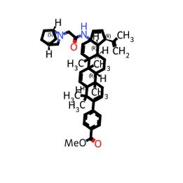 C=C(C)[C@@H]1C=CC2(NC(=O)CN3C[C@@H]4CC[C@H]3C4)C=CC3(C)[C@H](CC[C@@H]4C5(C)CC=C(c6ccc(C(=O)OC)cc6)C(C)(C)[C@H]5C=CC43C)[C@H]12